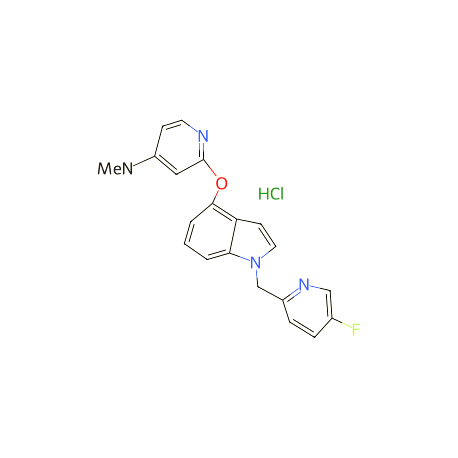 CNc1ccnc(Oc2cccc3c2ccn3Cc2ccc(F)cn2)c1.Cl